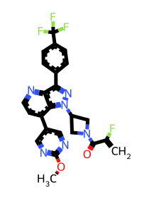 C=C(F)C(=O)N1CC(n2nc(-c3ccc(C(F)(F)F)cc3)c3nccc(-c4cnc(OC)nc4)c32)C1